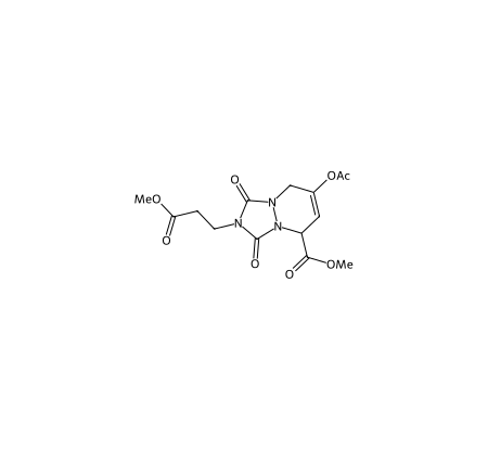 COC(=O)CCn1c(=O)n2n(c1=O)C(C(=O)OC)C=C(OC(C)=O)C2